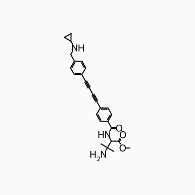 COC(=O)C(NC(=O)c1ccc(C#CC#Cc2ccc(CNC3CC3)cc2)cc1)C(C)(C)N